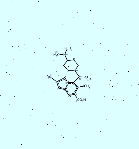 Cc1c(C(=O)O)cc2cc(Br)cn2c1C(C)N1CCC(N(C)C)CC1